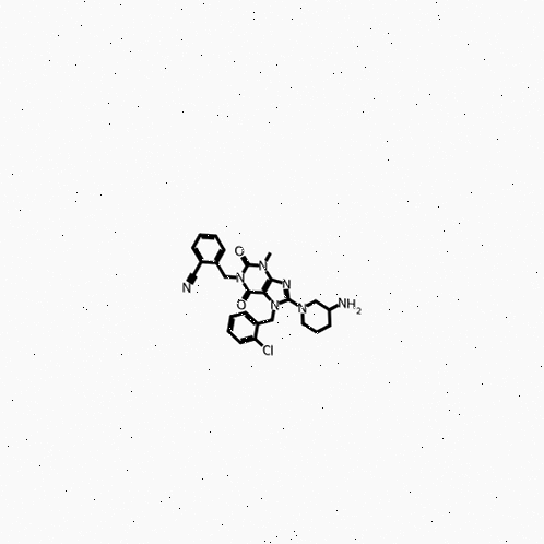 Cn1c(=O)n(Cc2ccccc2C#N)c(=O)c2c1nc(N1CCCC(N)C1)n2Cc1ccccc1Cl